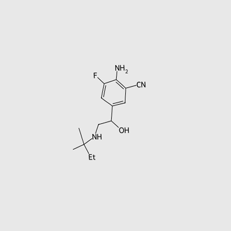 CCC(C)(C)NCC(O)c1cc(F)c(N)c(C#N)c1